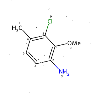 COc1c(N)ccc(C)c1Cl